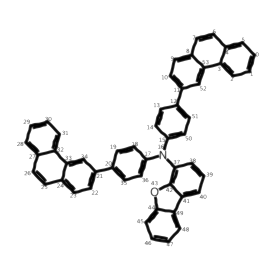 c1ccc2c(c1)ccc1ccc(-c3ccc(N(c4ccc(-c5ccc6ccc7ccccc7c6c5)cc4)c4cccc5c4oc4ccccc45)cc3)cc12